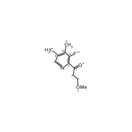 COCCC(=O)c1ncc(C)c(C)c1F